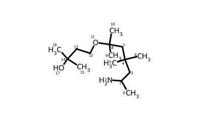 CC(N)CC(C)(C)CC(C)(C)OCCC(C)(C)O